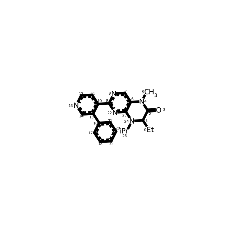 CCC1C(=O)N(C)c2cnc(-c3ccncc3-c3ccccc3)nc2N1C(C)C